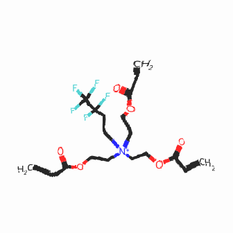 C=CC(=O)OCC[N+](CCOC(=O)C=C)(CCOC(=O)C=C)CCC(F)(F)C(F)(F)F